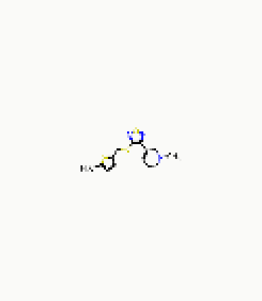 Cc1ccc(CSc2nsnc2C2=CCCN(C)C2)s1